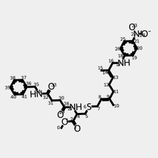 COC(=O)C(CSCC=C(C)CCC=C(C)CNc1ccc([N+](=O)[O-])cc1)NC(=O)CCC(=O)NCc1ccccc1